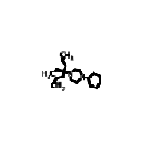 C=CCC(C=C)(CC=C)N1CCN(C2CCCCC2)CC1